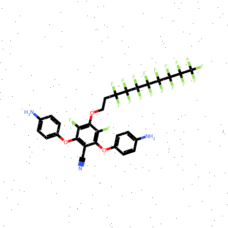 N#Cc1c(Oc2ccc(N)cc2)c(F)c(OCCC(F)(F)C(F)(F)C(F)(F)C(F)(F)C(F)(F)C(F)(F)C(F)(F)C(F)(F)F)c(F)c1Oc1ccc(N)cc1